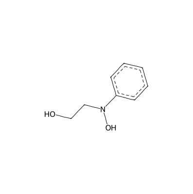 OCCN(O)c1ccccc1